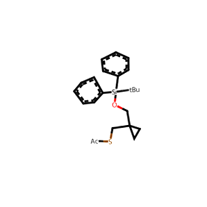 CC(=O)SCC1(CO[Si](c2ccccc2)(c2ccccc2)C(C)(C)C)CC1